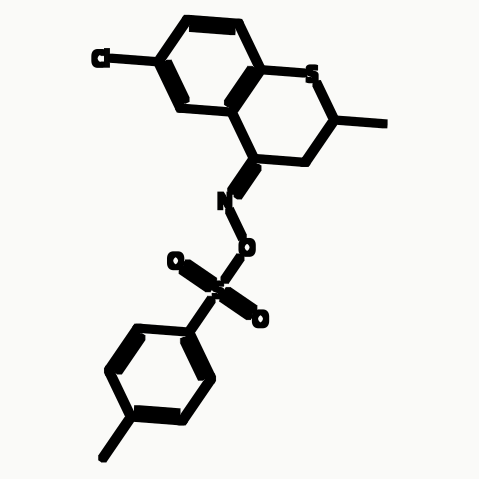 Cc1ccc(S(=O)(=O)O/N=C2\CC(C)Sc3ccc(Cl)cc32)cc1